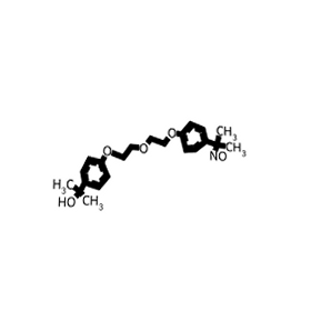 CC(C)(O)c1ccc(OCCOCCOc2ccc(C(C)(C)N=O)cc2)cc1